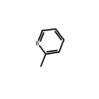 Cc1bcccc1